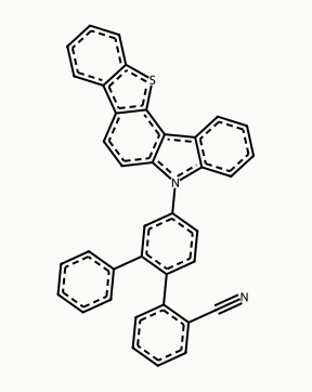 N#Cc1ccccc1-c1ccc(-n2c3ccccc3c3c4sc5ccccc5c4ccc32)cc1-c1ccccc1